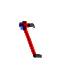 COCCOCCOCCOCCOCCOCCOCCOCCOCCOCCOCCOCCOCCOCCOCCOCCOCCOCCOCCOCCOCCOCCOCCOCCC(=O)NCCCC[C@H](NC(=O)[C@@H](NC(=O)OCC1c2ccccc2-c2ccccc21)C(C)C)C(=O)Nc1ccc(COC(=O)Oc2ccc([N+](=O)[O-])cc2)cc1